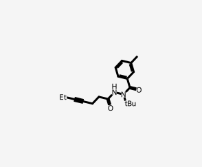 CCC#CCCC(=O)NN(C(=O)c1cccc(C)c1)C(C)(C)C